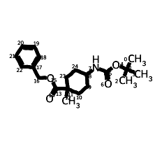 CC(C)(C)OC(=O)NC1CCC(C)(C(=O)OCc2ccccc2)CC1